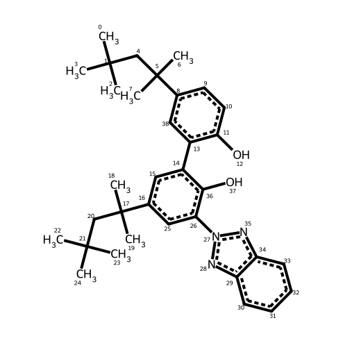 CC(C)(C)CC(C)(C)c1ccc(O)c(-c2cc(C(C)(C)CC(C)(C)C)cc(-n3nc4ccccc4n3)c2O)c1